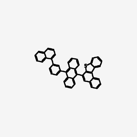 c1cc(-c2cccc3ccccc23)cc(-c2c3ccccc3c(-c3cc4ccccc4c4c3sc3ccccc34)c3ccccc23)c1